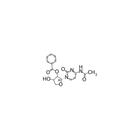 CC(=O)Nc1ccn([C@@H]2OCC(O)C2OC(=O)c2ccccc2)c(=O)n1